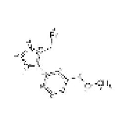 COCc1cccc(-c2ocnc2CBr)c1